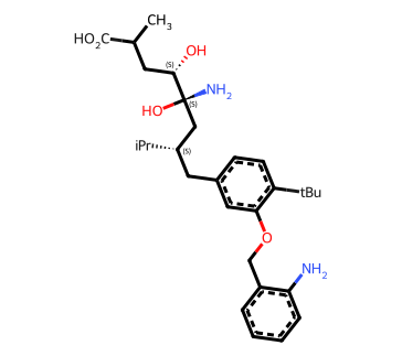 CC(C[C@H](O)[C@@](N)(O)C[C@H](Cc1ccc(C(C)(C)C)c(OCc2ccccc2N)c1)C(C)C)C(=O)O